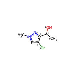 CC(O)c1nn(C)cc1Br